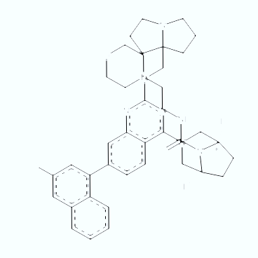 O=C(NCCN1CCOCC1)N1[C@@H]2CC[C@H]1CN(c1nc(OCC34CCCN3CCC4)nc3cc(-c4cc(O)cc5ccccc45)ccc13)C2